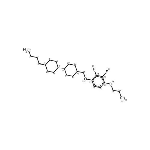 CCCC[C@H]1CC[C@H](C2CCC(COc3ccc(OCCC)c(F)c3F)CC2)CC1